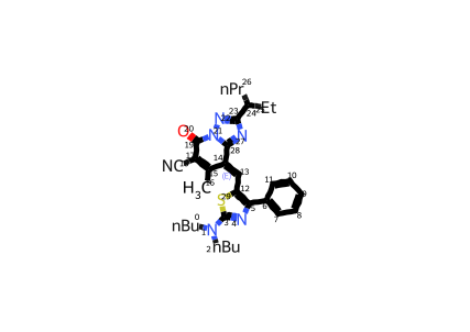 CCCCN(CCCC)c1nc(-c2ccccc2)c(/C=c2\c(C)c(C#N)c(=O)n3nc(C(CC)CCC)nc23)s1